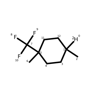 [2H]C1(C)CCC(C)(C(F)(F)F)CC1